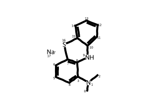 CN(C)c1cccc2c1Nc1ccccc1S2.[Na]